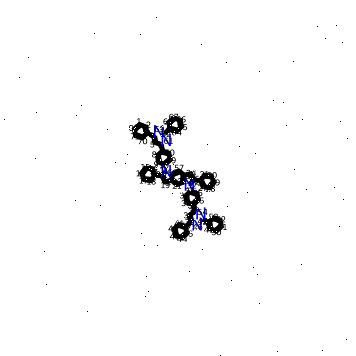 c1ccc(-c2cc(-c3ccc(-n4c(-c5ccccc5)cc5cc6c(cc(-c7ccccc7)n6-c6ccc(-c7cc(-c8ccccc8)nc(-c8ccccc8)n7)cc6)cc54)cc3)nc(-c3ccccc3)n2)cc1